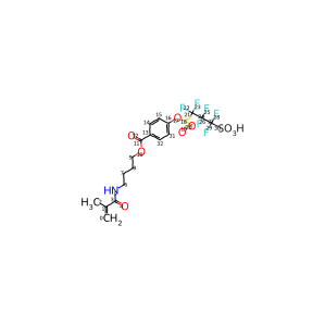 C=C(C)C(=O)NCCCCOC(=O)c1ccc(OS(=O)(=O)C(F)(F)C(F)(F)C(F)(F)S(=O)(=O)O)cc1